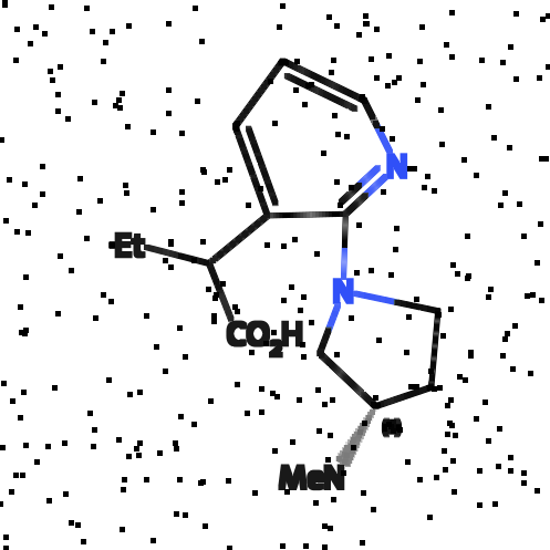 C[CH]C(C(=O)O)c1cccnc1N1CC[C@H](NC)C1